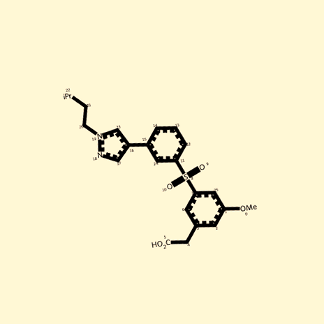 COc1cc(CC(=O)O)cc(S(=O)(=O)c2cccc(-c3cnn(CCC(C)C)c3)c2)c1